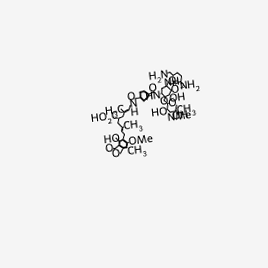 CNC1[C@@H](O)[C@@H](OC2[C@@H](O)[C@H](O[C@H]3OC(CN)CC[C@@H]3N)C(N)C[C@H]2NC(=O)c2ccc(C(=O)NC/C=C(\C)CC(C/C(C)=C/Cc3c(O)c4c(c(C)c3OC)COC4=O)C(=O)O)cc2)OC[C@]1(C)O